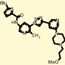 COCCCN1CCN(c2cncc(-c3cn(-c4cc(NC(=O)c5ccc(C(C)(C)C)s5)cnc4C)nn3)c2)CC1